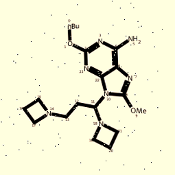 CCCCOc1nc(N)c2nc(OC)n(C(CCN3CCC3)N3CCC3)c2n1